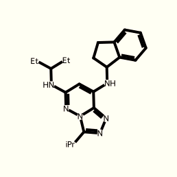 CCC(CC)Nc1cc(NC2CCc3ccccc32)c2nnc(C(C)C)n2n1